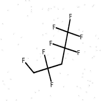 FCC(F)(F)CC(F)(F)C(F)(F)F